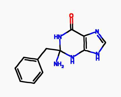 NC1(Cc2ccccc2)NC(=O)c2nc[nH]c2N1